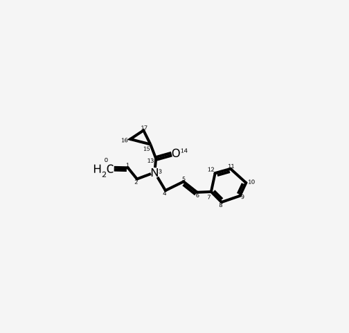 C=CCN(C/C=C/c1ccccc1)C(=O)C1CC1